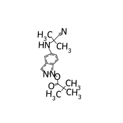 CC(C)(C#N)Nc1ccc2c(cnn2OC(=O)C(C)(C)C)c1